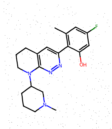 Cc1cc(F)cc(O)c1-c1cc2c(nn1)N(C1CCCN(C)C1)CCC2